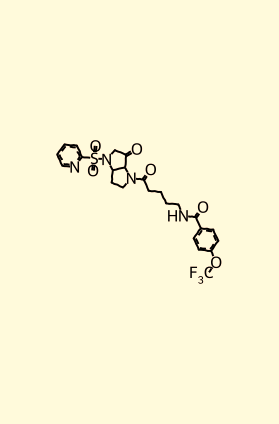 O=C(NCCCCC(=O)N1CCC2C1C(=O)CN2S(=O)(=O)c1ccccn1)c1ccc(OC(F)(F)F)cc1